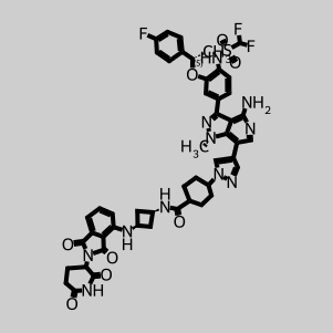 C[C@H](Oc1cc(-c2nn(C)c3c(-c4cnn(C5CCC(C(=O)N[C@H]6C[C@H](Nc7cccc8c7C(=O)N(C7CCC(=O)NC7=O)C8=O)C6)CC5)c4)cnc(N)c23)ccc1NS(=O)(=O)C(F)F)c1ccc(F)cc1